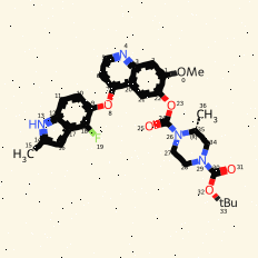 COc1cc2nccc(Oc3ccc4[nH]c(C)cc4c3F)c2cc1OC(=O)N1CCN(C(=O)OC(C)(C)C)C[C@H]1C